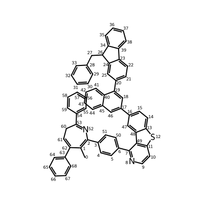 CC1=C(c2ccc(-c3nccc4sc5ccc(-c6cc(-c7ccc8c(c7)C(Cc7ccccc7)c7ccccc7-8)c7ccccc7c6)cc5c34)cc2)N=C(c2ccccc2)CC=C1c1ccccc1